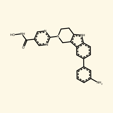 Nc1cccc(-c2ccc3[nH]c4c(c3c2)CN(c2ncc(C(=O)NO)cn2)CC4)c1